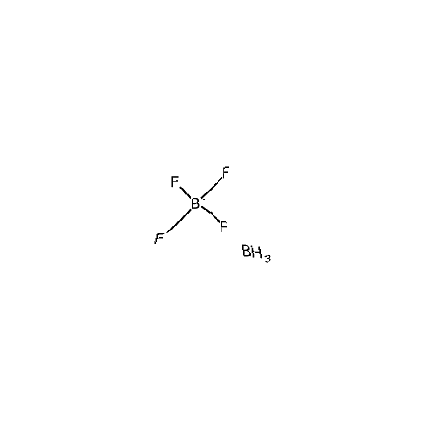 B.F[B-](F)(F)F